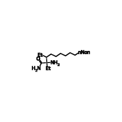 CCCCCCCCCCCCCCCC(CC)C(N)(CC)C(N)=O